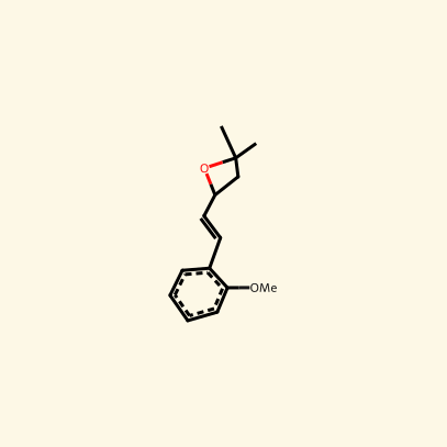 COc1ccccc1C=CC1CC(C)(C)O1